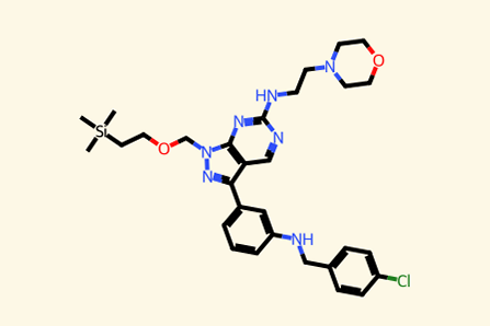 C[Si](C)(C)CCOCn1nc(-c2cccc(NCc3ccc(Cl)cc3)c2)c2cnc(NCCN3CCOCC3)nc21